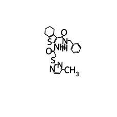 Cc1ccnc(SCC(=O)Nc2sc3c(c2C(=O)NCc2ccccc2)CCCC3)n1